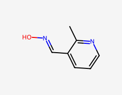 Cc1ncccc1C=NO